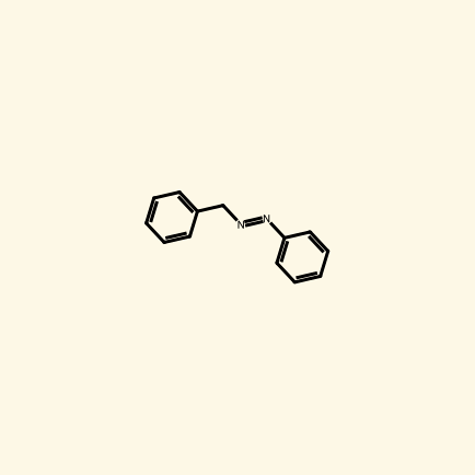 c1ccc(C/N=N/c2ccccc2)cc1